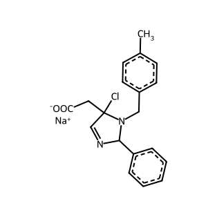 Cc1ccc(CN2C(c3ccccc3)N=CC2(Cl)CC(=O)[O-])cc1.[Na+]